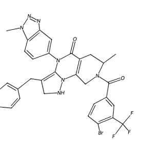 CC1CC2=C(CN1C(=O)c1ccc(Br)c(C(F)(F)F)c1)N1NCC(Cc3ccccc3)=C1N(c1ccc3c(c1)nnn3C)C2=O